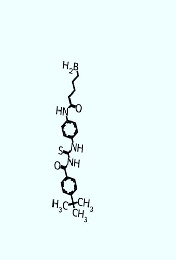 BCCCCC(=O)Nc1ccc(NC(=S)NC(=O)c2ccc(C(C)(C)C)cc2)cc1